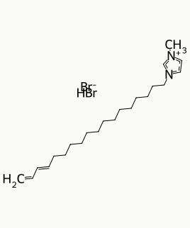 Br.C=CC=CCCCCCCCCCCCCCCn1cc[n+](C)c1.[Br-]